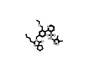 CCCCC1=NC2(CCCC2)C(=O)N1Cc1ccc(-c2ncccc2S(=O)(=O)Nc2noc(C)c2C)c(COCC)c1